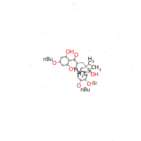 CCCCOc1cc(O)c2c(=O)c(CC(C)(C)[Si](C)(C)O)c(-c3ccc(OBr)c(OCCCC)c3)oc2c1